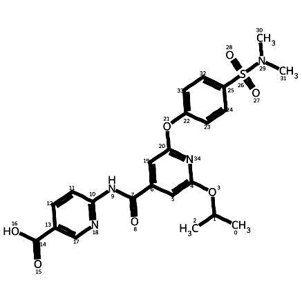 CC(C)Oc1cc(C(=O)Nc2ccc(C(=O)O)cn2)cc(Oc2ccc(S(=O)(=O)N(C)C)cc2)n1